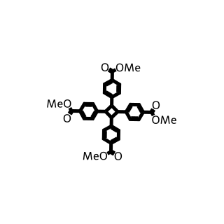 COC(=O)c1ccc(C2C(c3ccc(C(=O)OC)cc3)C(c3ccc(C(=O)OC)cc3)C2c2ccc(C(=O)OC)cc2)cc1